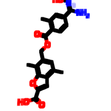 Cc1cc(/C(N)=N\O)ccc1C(=O)OCc1cc(C)c2cc(C(=O)O)oc2c1C